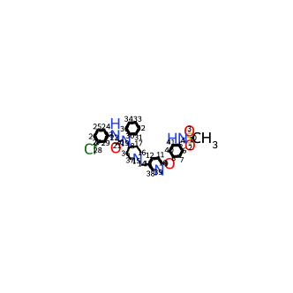 CS(=O)(=O)Nc1ccc(Oc2ccc(CN3CCC(N(C(=O)Nc4cccc(Cl)c4)c4ccccc4)CC3)cn2)cc1